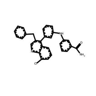 NC(=O)c1cccc(Nc2cccc(-c3c(Cc4ccccc4)cnc4c(Cl)cccc34)c2)c1